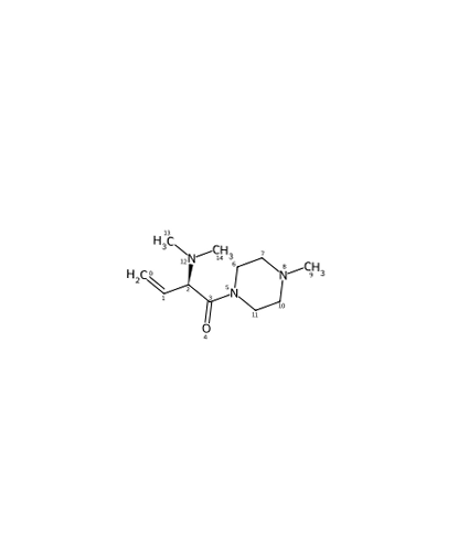 C=C[C@H](C(=O)N1CCN(C)CC1)N(C)C